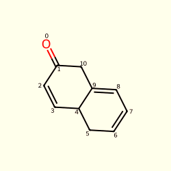 O=C1C=CC2CC=CC=C2C1